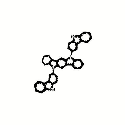 c1ccc2c(c1)[nH]c1ccc(-n3c4c(c5cc6c(cc53)c3ccccc3n6-c3ccc5[nH]c6ccccc6c5c3)CCCC4)cc12